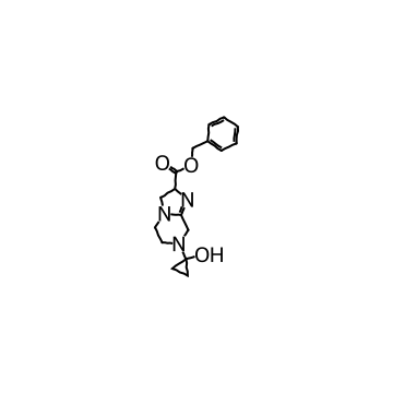 O=C(OCc1ccccc1)C1CN2CCN(C3(O)CC3)CC2=N1